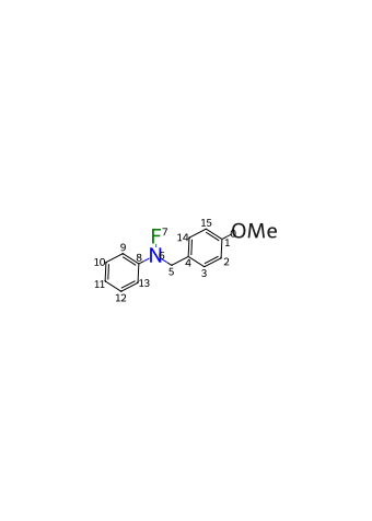 COc1ccc(CN(F)c2ccccc2)cc1